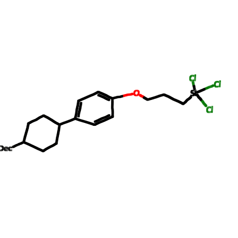 CCCCCCCCCCC1CCC(c2ccc(OCCC[Si](Cl)(Cl)Cl)cc2)CC1